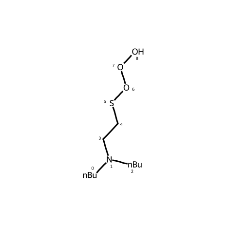 CCCCN(CCCC)CCSOOO